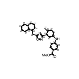 COC(=O)c1ccc(Nc2ccc(C)c(-c3noc(Cc4cccc5ccccc45)n3)c2)cc1